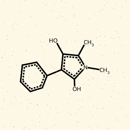 Cc1c(O)c(-c2ccccc2)c(O)n1C